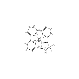 CC1(C)CN([PH](c2ccccc2)(c2ccccc2)c2ccccc2)SN1